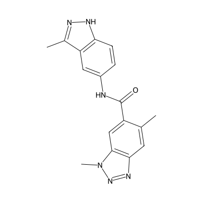 Cc1cc2nnn(C)c2cc1C(=O)Nc1ccc2[nH]nc(C)c2c1